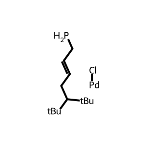 CC(C)(C)C(CC=CCP)C(C)(C)C.[Cl][Pd]